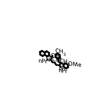 CCCN1/C(=C/C=C/C2=[N+](CCC)c3ccc(OC)cc3C2(C)Cc2ccc(C)cc2)C(C)(C)c2ccc3ccccc3c21